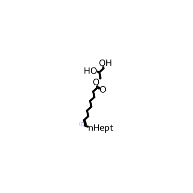 CCCCCCC/C=C\CCCCCCC(=O)OCC(O)CO